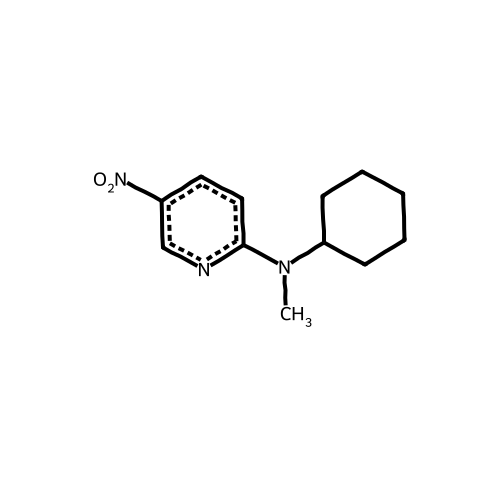 CN(c1ccc([N+](=O)[O-])cn1)C1CCCCC1